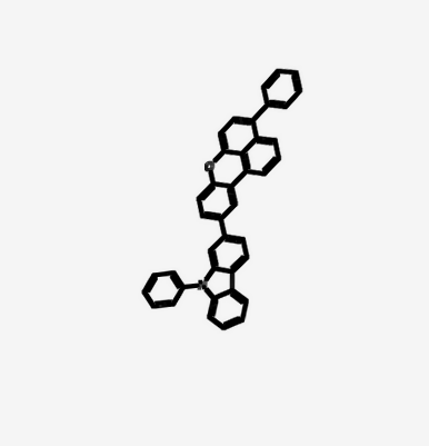 c1ccc(-c2ccc3c4c(cccc24)-c2cc(-c4ccc5c6ccccc6n(-c6ccccc6)c5c4)ccc2O3)cc1